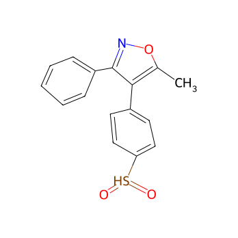 Cc1onc(-c2ccccc2)c1-c1ccc([SH](=O)=O)cc1